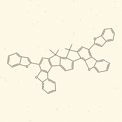 CC1(C)c2cc(-c3cc4ccccc4o3)c3c(oc4ccccc43)c2-c2ccc3c(c21)C(C)(C)c1cc(-c2cc4ccccc4o2)c2oc4ccccc4c2c1-3